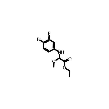 CCOC(=O)C(Nc1ccc(F)c(F)c1)OC